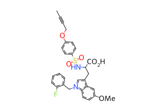 CC#CCOc1ccc(S(=O)(=O)NC(Cc2cn(Cc3ccccc3F)c3ccc(OC)cc23)C(=O)O)cc1